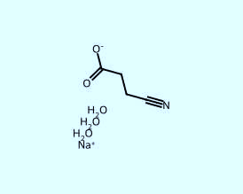 N#CCCC(=O)[O-].O.O.O.[Na+]